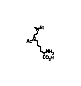 CCN(C)CCN(CCCC[C@H](N)C(=O)O)C(C)=O